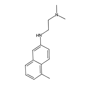 Cc1cccc2cc(NCCN(C)C)ccc12